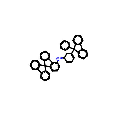 C1=CC(Nc2cccc3c2-c2ccccc2C32c3ccccc3-c3ccccc32)CC(C2(c3ccccc3)c3ccccc3-c3ccccc32)=C1